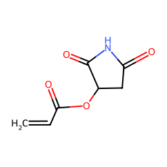 C=CC(=O)OC1CC(=O)NC1=O